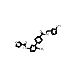 Cc1ccc(NC(=O)c2ccoc2)cc1-c1ccc(C(=O)NCc2cccc(O)c2)cc1